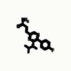 CC(C)N(C)c1nc(/C=C/C(N)=O)cnc1-c1ccc(F)cc1